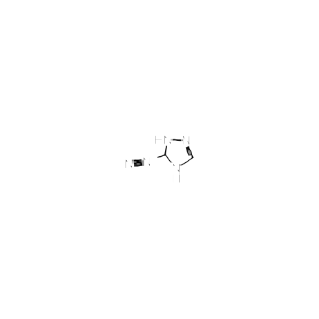 N#[N+]C1NC=NN1